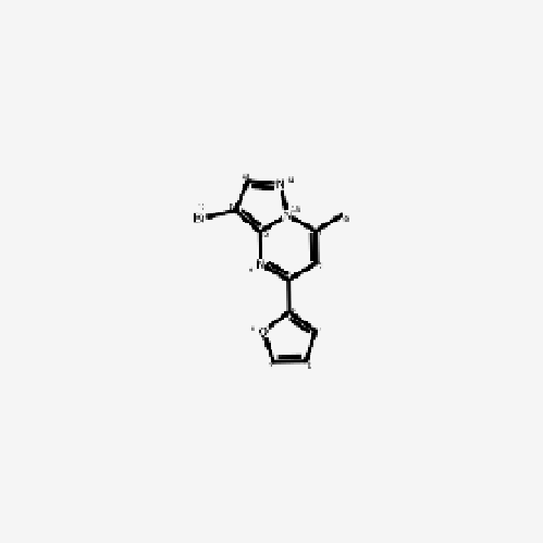 Cc1cc(-c2ccco2)nc2c(Br)cnn12